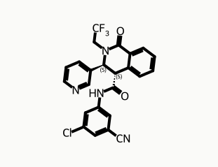 N#Cc1cc(Cl)cc(NC(=O)[C@H]2c3ccccc3C(=O)N(CC(F)(F)F)[C@@H]2c2cccnc2)c1